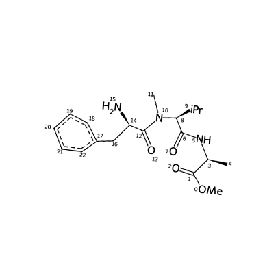 COC(=O)[C@H](C)NC(=O)[C@H](C(C)C)N(C)C(=O)[C@H](N)Cc1ccccc1